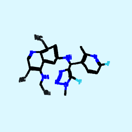 Cc1nc(F)ccc1[C@H](Nc1cc(C#N)c2ncc(C#N)c(NCC(C)(C)C)c2c1)c1nnn(C)c1F